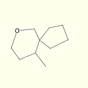 CC1CCOCC12CCCC2